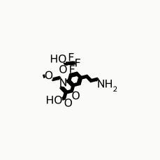 COCCn1cc(C(=O)O)c(=O)c2cc(CCCN)ccc21.O=C(O)C(F)(F)F